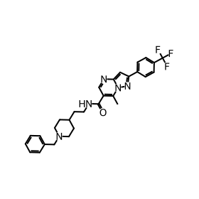 Cc1c(C(=O)NCCC2CCN(Cc3ccccc3)CC2)cnc2cc(-c3ccc(C(F)(F)F)cc3)nn12